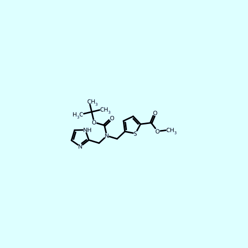 COC(=O)c1ccc(CN(Cc2ncc[nH]2)C(=O)OC(C)(C)C)s1